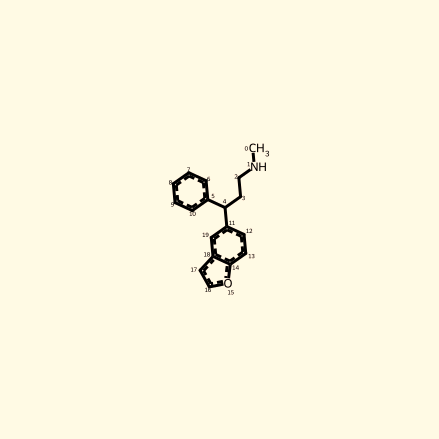 CNCCC(c1ccccc1)c1ccc2occc2c1